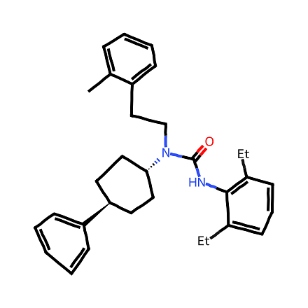 CCc1cccc(CC)c1NC(=O)N(CCc1ccccc1C)[C@H]1CC[C@H](c2ccccc2)CC1